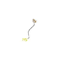 SCCCBr